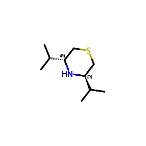 CC(C)[C@@H]1CSC[C@@H](C(C)C)N1